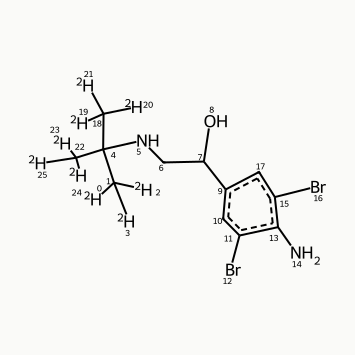 [2H]C([2H])([2H])C(NCC(O)c1cc(Br)c(N)c(Br)c1)(C([2H])([2H])[2H])C([2H])([2H])[2H]